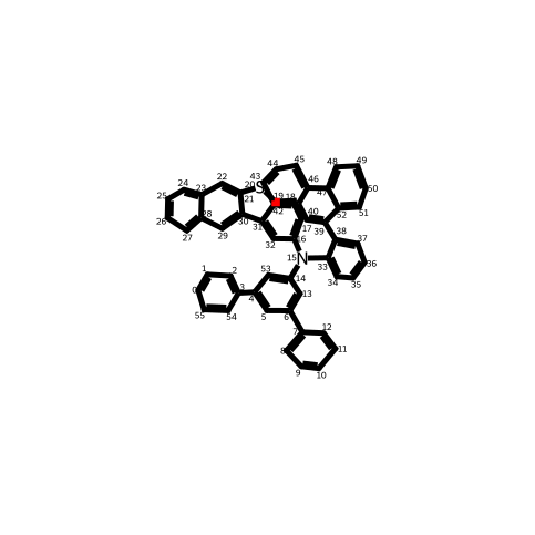 c1ccc(-c2cc(-c3ccccc3)cc(N(c3ccc4sc5cc6ccccc6cc5c4c3)c3ccccc3-c3cc4ccccc4c4ccccc34)c2)cc1